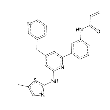 C=CC(=O)Nc1cccc(-c2cc(Cc3cccnc3)cc(Nc3ncc(C)s3)n2)c1